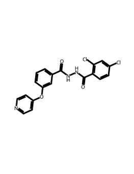 O=C(NNC(=O)c1ccc(Cl)cc1Cl)c1cccc(Oc2ccncc2)c1